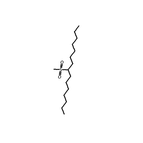 CCCCCCCC(CCCCCCC)S(C)(=O)=O